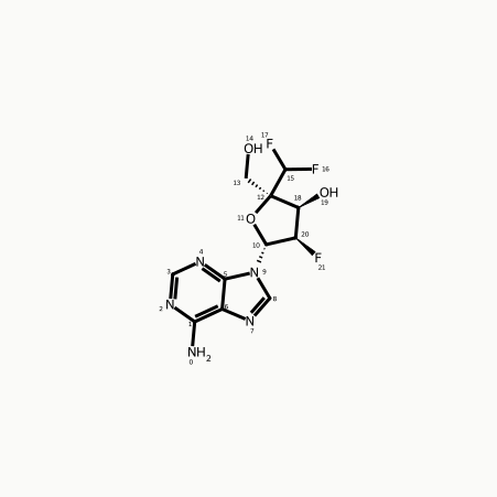 Nc1ncnc2c1ncn2[C@@H]1O[C@@](CO)(C(F)F)[C@@H](O)[C@H]1F